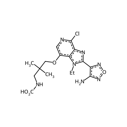 CCn1c(-c2nonc2N)nc2c(Cl)ncc(OCC(C)(C)CNC(=O)O)c21